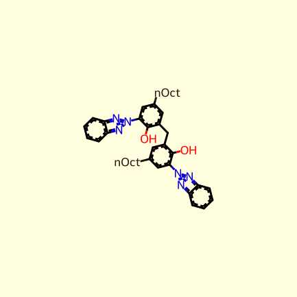 CCCCCCCCc1cc(Cc2cc(CCCCCCCC)cc(-n3n4c5ccccc5n34)c2O)c(O)c(-n2n3c4ccccc4n23)c1